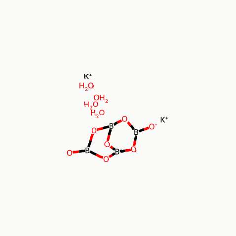 O.O.O.O.[K+].[K+].[O-]B1OB2OB([O-])OB(O1)O2